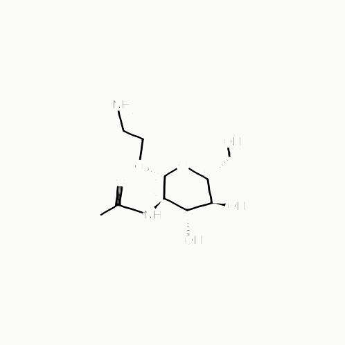 CC(=O)N[C@H]1[C@H](OCCN)O[C@H](CO)[C@@H](O)[C@@H]1O